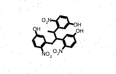 CC(c1cc(O)ccc1[N+](=O)[O-])C(Cc1cc(O)ccc1[N+](=O)[O-])c1cc(O)ccc1[N+](=O)[O-]